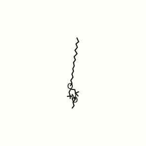 CCCCCCCCCCCCCCCCOC1CC(C)(C)N(OCCC)C(C)(C)C1